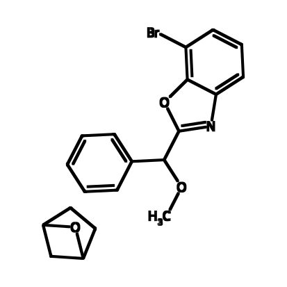 C1CC2CC1O2.COC(c1ccccc1)c1nc2cccc(Br)c2o1